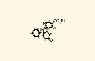 CCOC(=O)c1cnc(NC2(c3ccccc3)CCC(=O)CC2)nc1